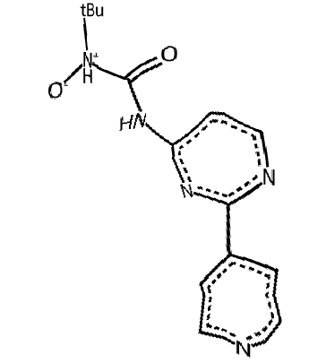 CC(C)(C)[NH+]([O-])C(=O)Nc1ccnc(-c2ccncc2)n1